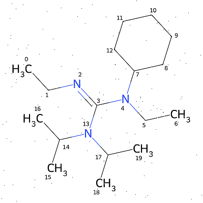 CC/N=C(/N(CC)C1CCCCC1)N(C(C)C)C(C)C